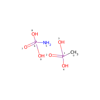 CP(=O)(O)O.NP(=O)(O)O